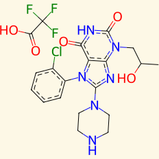 CC(O)Cn1c(=O)[nH]c(=O)c2c1nc(N1CCNCC1)n2-c1ccccc1Cl.O=C(O)C(F)(F)F